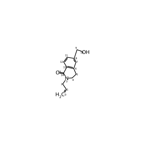 C=CCN1CCc2cc(CO)ccc2C1=O